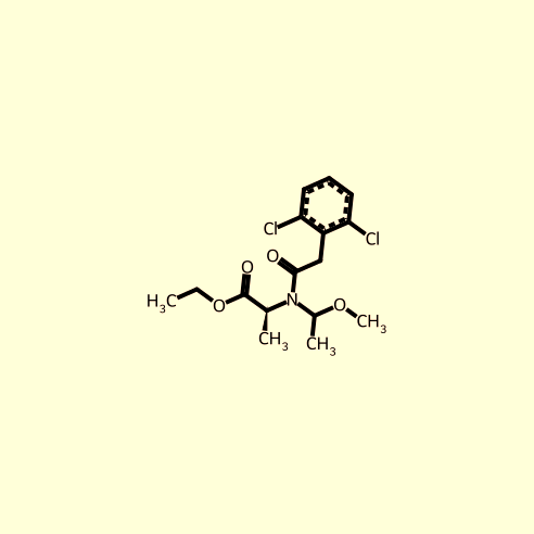 CCOC(=O)[C@H](C)N(C(=O)Cc1c(Cl)cccc1Cl)C(C)OC